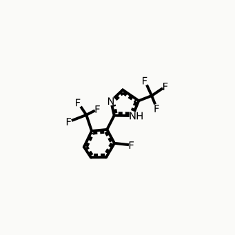 Fc1cccc(C(F)(F)F)c1-c1ncc(C(F)(F)F)[nH]1